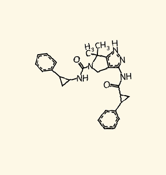 CC1(C)c2[nH]nc(NC(=O)C3CC3c3ccccc3)c2CN1C(=O)NC1CC1c1ccccc1